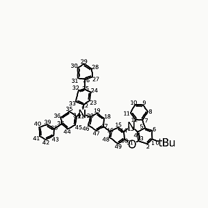 CC(C)(C)c1cc2c3c(c1)c1ccccc1n3-c1cc(-c3ccc(N(c4ccc(-c5ccccc5)cc4)c4ccc(-c5ccccc5)cc4)cc3)ccc1O2